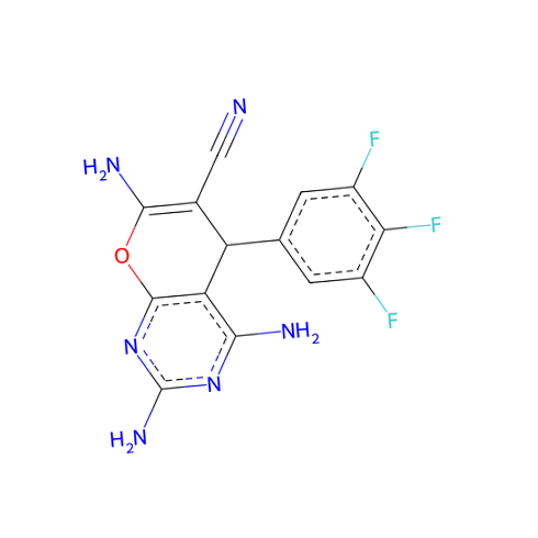 N#CC1=C(N)Oc2nc(N)nc(N)c2C1c1cc(F)c(F)c(F)c1